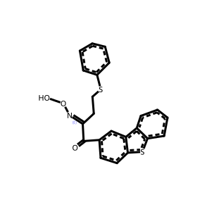 O=C(/C(CCSc1ccccc1)=N/OO)c1ccc2sc3ccccc3c2c1